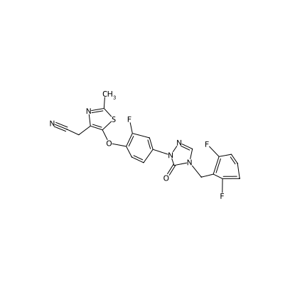 Cc1nc(CC#N)c(Oc2ccc(-n3ncn(Cc4c(F)cccc4F)c3=O)cc2F)s1